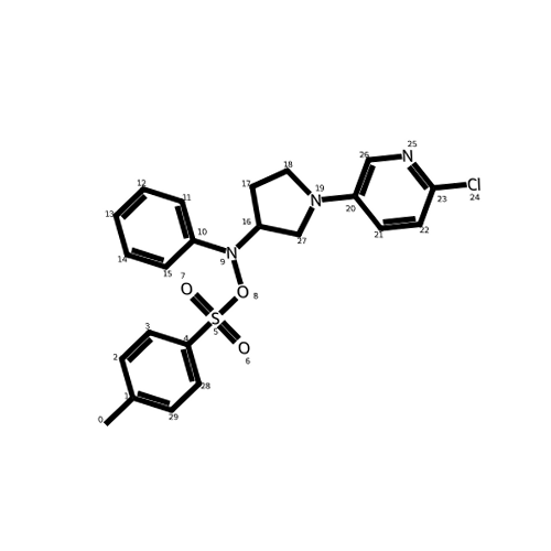 Cc1ccc(S(=O)(=O)ON(c2ccccc2)C2CCN(c3ccc(Cl)nc3)C2)cc1